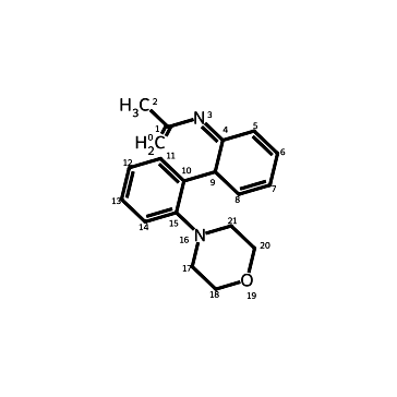 C=C(C)/N=C1/C=CC=CC1c1ccccc1N1CCOCC1